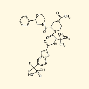 CC(=O)N1CCN(C(=O)C(NC(=O)c2cc3cc(C(F)(F)P(=O)(O)O)ccc3s2)C(C)(C)C)[C@H](C(=O)N2CCO[C@H](c3ccccc3)C2)C1